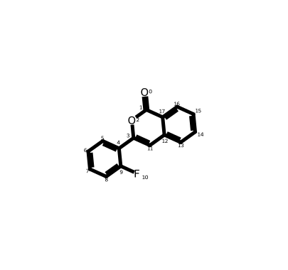 O=c1oc(-c2ccccc2F)cc2ccccc12